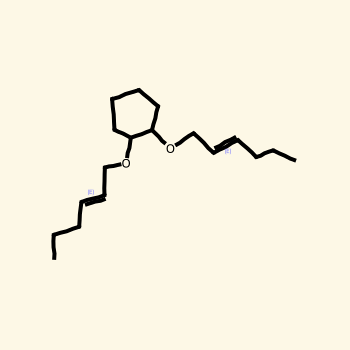 CCC/C=C/COC1CCCCC1OC/C=C/CCC